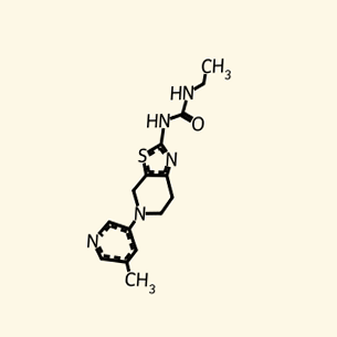 CCNC(=O)Nc1nc2c(s1)CN(c1cncc(C)c1)CC2